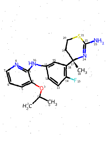 CC(C)Oc1cccnc1Nc1ccc(F)c([C@]2(C)CCSC(N)=N2)c1